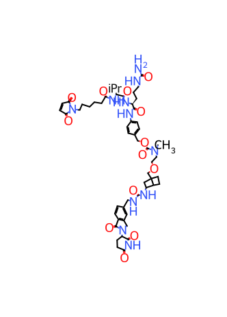 CC(C)[C@H](NC(=O)CCCCCN1C(=O)C=CC1=O)C(=O)N[C@@H](CCCNC(N)=O)C(=O)Nc1ccc(COC(=O)N(C)CCOCC23CCC2C(NC(=O)NCc2ccc4c(c2)CN(C2CCC(=O)NC2=O)C4=O)C3)cc1